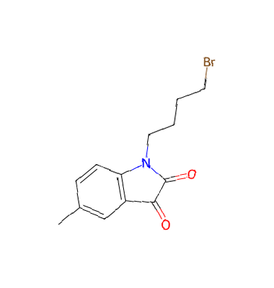 Cc1ccc2c(c1)C(=O)C(=O)N2CCCCBr